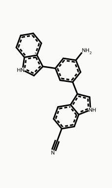 N#Cc1ccc2c(-c3cc(N)cc(-c4c[nH]c5ccccc45)c3)c[nH]c2c1